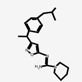 CC(C)Cc1ccc(C(C)c2cc(/N=C(\N)N3CCCCC3)on2)cc1